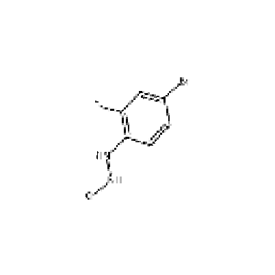 Fc1cc(Br)ccc1NNCl